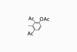 CC(=O)Oc1ccc(C(C)=O)c(C)c1C(C)=O